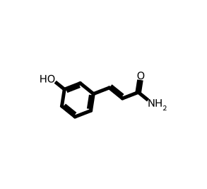 NC(=O)C=Cc1cccc(O)c1